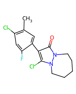 Cc1cc(-c2c(Cl)n3n(c2=O)CCCCC3)c(F)cc1Cl